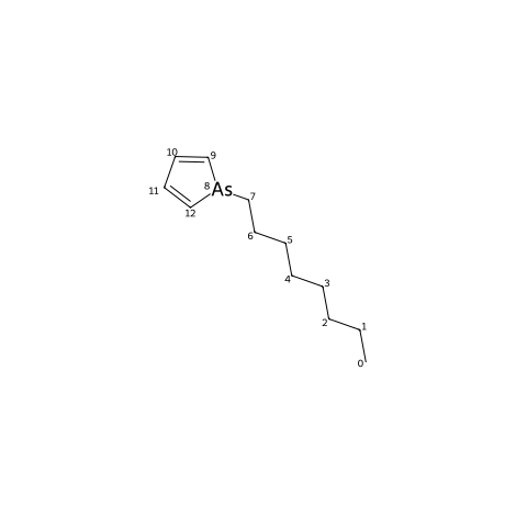 CCCCCCCC[As]1C=CC=C1